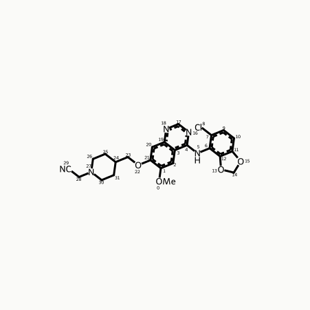 COc1cc2c(Nc3c(Cl)ccc4c3OCO4)ncnc2cc1OCC1CCN(CC#N)CC1